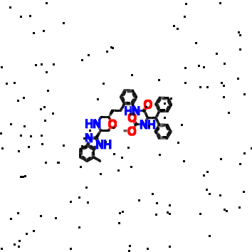 COC(=O)NC(C(=O)Nc1ccccc1CC[C@@H]1CN[C@H](c2nc3cccc(C)c3[nH]2)CO1)C(c1ccccc1)c1ccccc1